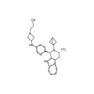 C[C@@H]1Cc2c([nH]c3ccccc23)[C@@H](c2ccc(NC3CN(CCC#N)C3)cn2)N1C12CC(C1)C2